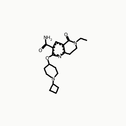 CCN1CCc2nc(OC3CCN(C4CCC4)CC3)c(C(N)=O)cc2C1=O